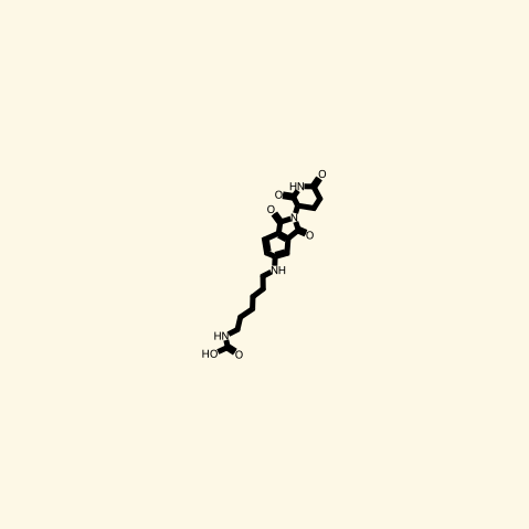 O=C(O)NCCCCCCNc1ccc2c(c1)C(=O)N(C1CCC(=O)NC1=O)C2=O